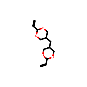 C=CC1OCC(CC2COC(C=C)OC2)CO1